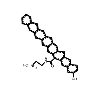 Cl.NCCNC(=O)c1c2cc3cc(O)ccc3cc2cc2cc3cc4cc5cc6ccccc6cc5cc4cc3cc12